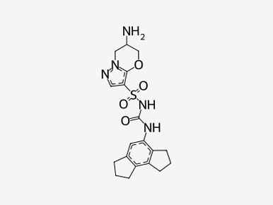 NC1COc2c(S(=O)(=O)NC(=O)Nc3cc4c(c5c3CCC5)CCC4)cnn2C1